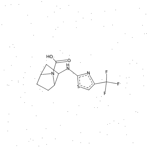 O=C(O)N1C2CCC1C(Nc1nc(C(F)(F)F)cs1)C2